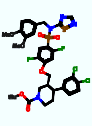 COc1ccc(CN(c2ncns2)S(=O)(=O)c2cc(F)c(OC[C@@H]3CN(C(=O)OC(C)(C)C)CCC3c3ccc(Cl)c(Cl)c3)cc2F)cc1OC